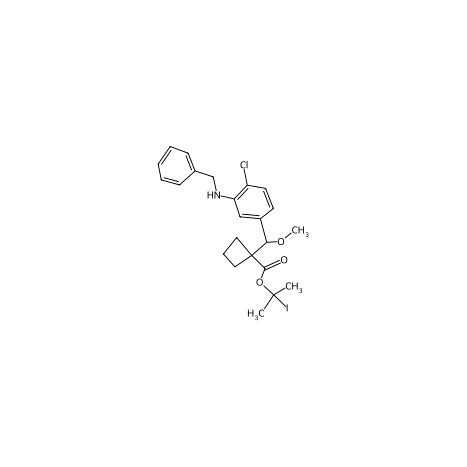 COC(c1ccc(Cl)c(NCc2ccccc2)c1)C1(C(=O)OC(C)(C)I)CCC1